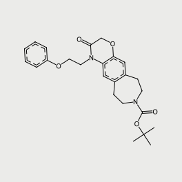 CC(C)(C)OC(=O)N1CCc2cc3c(cc2CC1)N(CCOc1ccccc1)C(=O)CO3